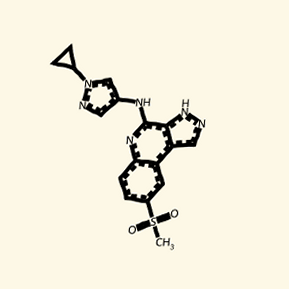 CS(=O)(=O)c1ccc2nc(Nc3cnn(C4CC4)c3)c3[nH]ncc3c2c1